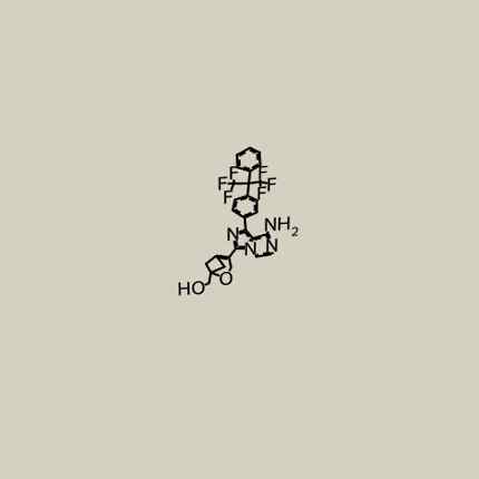 Nc1nccn2c(C3=C4CC(CO)(C4)OC3)nc(-c3ccc(C(c4ccccc4)(C(F)(F)F)C(F)(F)F)cc3)c12